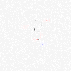 CCNC(=O)OC1/C=C/C(O)CCC(O)C1